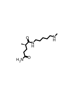 CNCCCCCNC(=O)[C@H](C)CCC(N)=O